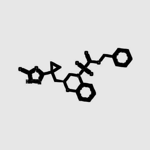 O=C(OCc1ccccc1)S(=O)(=O)N1C[C@H](CC2(c3n[nH]c(=O)o3)CC2)Oc2ccccc21